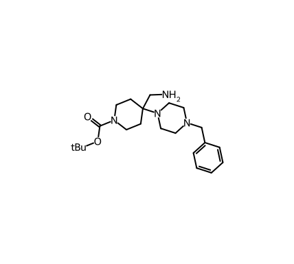 CC(C)(C)OC(=O)N1CCC(CN)(N2CCN(Cc3ccccc3)CC2)CC1